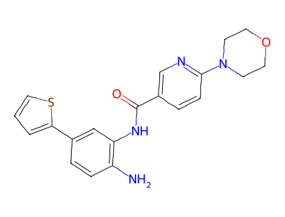 Nc1ccc(-c2cccs2)cc1NC(=O)c1ccc(N2CCOCC2)nc1